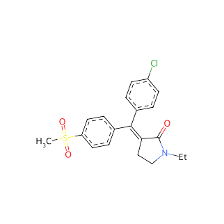 CCN1CC/C(=C(/c2ccc(Cl)cc2)c2ccc(S(C)(=O)=O)cc2)C1=O